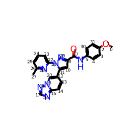 COc1ccc(NC(=O)c2cc(-c3ccc4ncnn4c3)n(-c3cccc(C)n3)n2)cc1